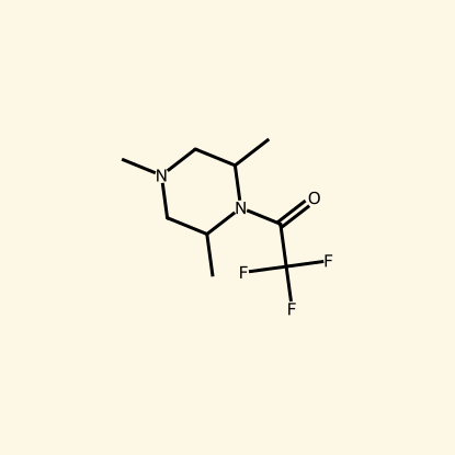 CC1CN(C)CC(C)N1C(=O)C(F)(F)F